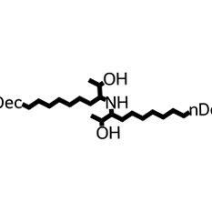 CCCCCCCCCCCCCCCCCC(NC(CCCCCCCCCCCCCCCCC)C(C)O)C(C)O